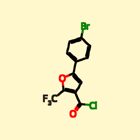 O=C(Cl)c1cc(-c2ccc(Br)cc2)oc1C(F)(F)F